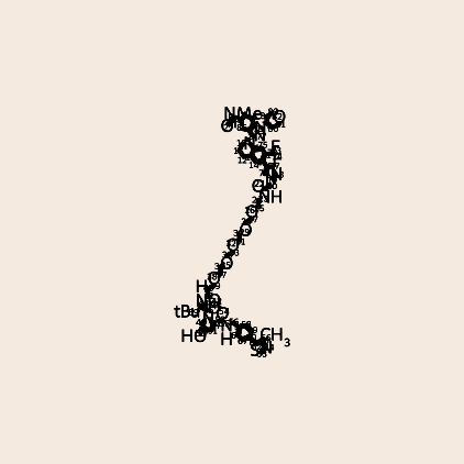 CNC(=O)N1CCc2c(c(N3CCCc4cc(-c5cnn(CC(=O)NCCOCCOCCOCCOCCOCCC(=O)N[C@H](C(=O)N6C[C@H](O)C[C@H]6C(=O)NCc6ccc(-c7scnc7C)cc6)C(C)(C)C)c5)c(C(F)F)cc43)nn2C2CCOCC2)C1